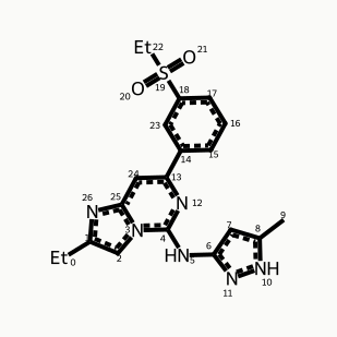 CCc1cn2c(Nc3cc(C)[nH]n3)nc(-c3cccc(S(=O)(=O)CC)c3)cc2n1